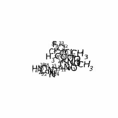 COC(=O)N(OC(C)=O)c1ncc(-c2cnn(C3CCNCC3)c2)cc1OC(C)c1c(Cl)ccc(F)c1Cl